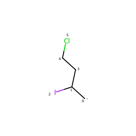 [CH2]C(I)CCCl